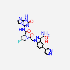 NC(O)c1nn(CC(=O)N2CC(F)CC2C(=O)Nc2nc(=O)[nH]c3nccn23)c2ccc(-c3ccnnc3)cc12